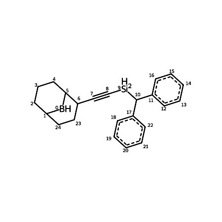 B1C2CCCC1C(C#C[SiH2]C(c1ccccc1)c1ccccc1)CC2